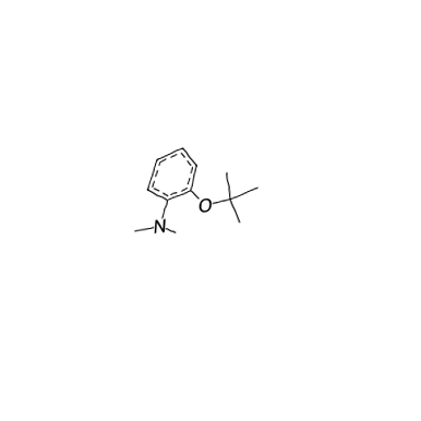 CN(C)c1ccccc1OC(C)(C)C